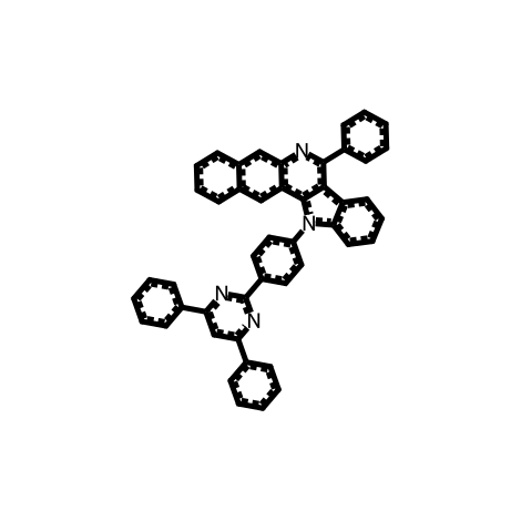 c1ccc(-c2cc(-c3ccccc3)nc(-c3ccc(-n4c5ccccc5c5c(-c6ccccc6)nc6cc7ccccc7cc6c54)cc3)n2)cc1